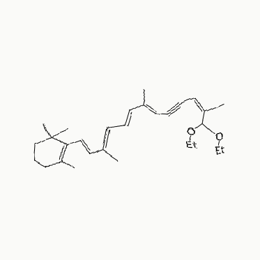 CCOC(OCC)C(C)=CC#CC=C(C)C=CC=C(C)C=CC1=C(C)CCCC1(C)C